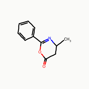 CC1CC(=O)OC(c2ccccc2)=N1